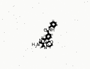 CC(=NN1CCOCC1)c1nc(-c2cccc(C(=O)NCc3ccccc3)c2)cnc1N